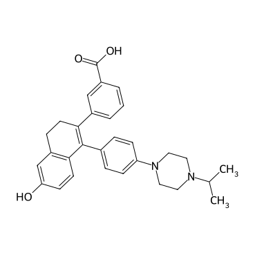 CC(C)N1CCN(c2ccc(C3=C(c4cccc(C(=O)O)c4)CCc4cc(O)ccc43)cc2)CC1